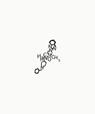 C[C@@H]1CN(c2ncc3ccccc3n2)C[C@H](C)N1C(=O)NC1CCN(Cc2ccccc2)CC1